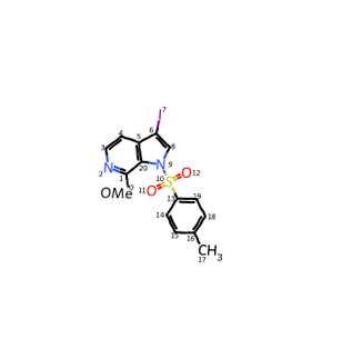 COc1nccc2c(I)cn(S(=O)(=O)c3ccc(C)cc3)c12